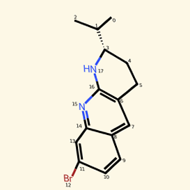 CC(C)[C@@H]1CCc2cc3ccc(Br)cc3nc2N1